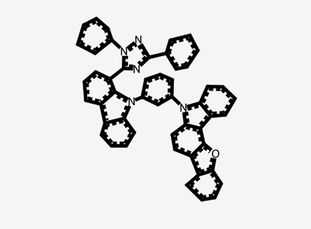 c1ccc(-c2nc(-c3cccc4c5ccccc5n(-c5cccc(-n6c7ccccc7c7c8oc9ccccc9c8ccc76)c5)c34)n(-c3ccccc3)n2)cc1